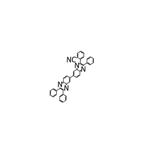 N#Cc1ccccc1-c1nc2cc(-c3ccc4nc(-c5ccccc5)c(-c5ccccc5)nc4c3)ccc2nc1-c1ccccc1